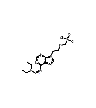 CCN(/C=N\c1ncnc2c1ncn2CCOCP(=O)(Cl)Cl)CC